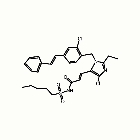 CCCCCS(=O)(=O)NC(=O)/C=C/c1c(Cl)nc(CC)n1Cc1ccc(/C=C/c2ccccc2)cc1Cl